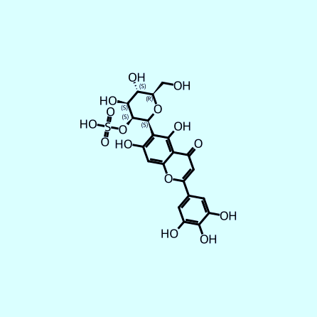 O=c1cc(-c2cc(O)c(O)c(O)c2)oc2cc(O)c([C@@H]3O[C@H](CO)[C@@H](O)[C@H](O)[C@@H]3OS(=O)(=O)O)c(O)c12